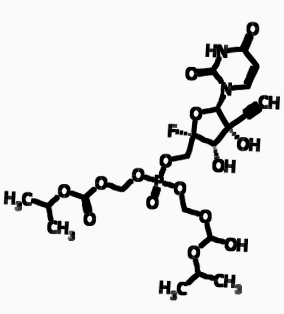 C#C[C@]1(O)[C@H](n2ccc(=O)[nH]c2=O)O[C@](F)(COP(=O)(OCOC(=O)OC(C)C)OCOC(O)OC(C)C)[C@H]1O